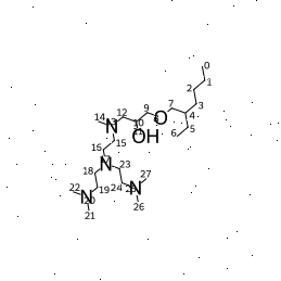 CCCCC(CC)COCC(O)CN(C)CCN(CCN(C)C)CCN(C)C